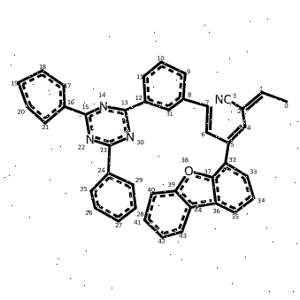 C\C=C(C#N)/C=C(\C=C\c1cccc(-c2nc(-c3ccccc3)nc(-c3ccccc3)n2)c1)c1cccc2c1oc1ccccc12